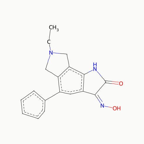 CCN1Cc2c(-c3ccccc3)cc3c(c2C1)NC(=O)C3=NO